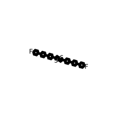 Fc1ccc(-c2ccc(-c3ccc(-c4cc5sc(-c6ccc(-c7ccc(-c8ccc(F)cc8)cc7)cc6)cc5s4)cc3)cc2)cc1